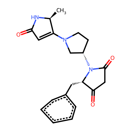 C[C@@H]1NC(=O)C=C1N1CC[C@H](N2C(=O)CC(=O)[C@@H]2Cc2ccccc2)C1